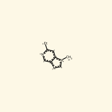 CCc1cc2c(cn1)ncn2C